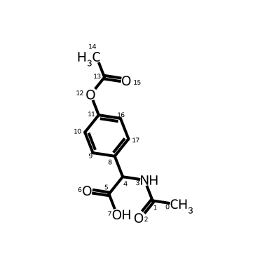 CC(=O)NC(C(=O)O)c1ccc(OC(C)=O)cc1